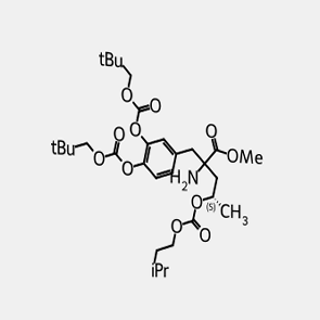 COC(=O)C(N)(Cc1ccc(OC(=O)OCC(C)(C)C)c(OC(=O)OCC(C)(C)C)c1)C[C@H](C)OC(=O)OCCC(C)C